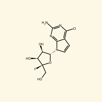 Nc1nc(Cl)c2ccn([C@@H]3O[C@](F)(CO)[C@@H](O)[C@H]3O)c2n1